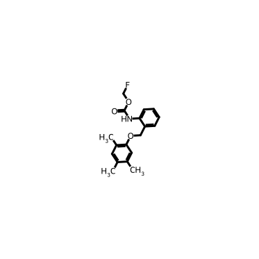 Cc1cc(C)c(OCc2ccccc2NC(=O)OCF)cc1C